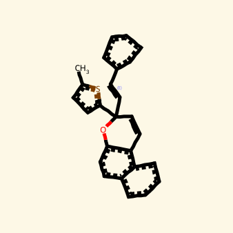 Cc1ccc(C2(/C=C/c3ccccc3)C=Cc3c(ccc4ccccc34)O2)s1